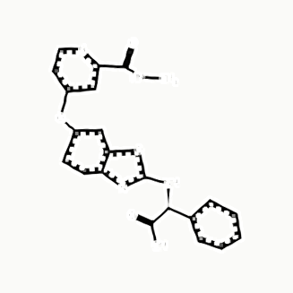 CNC(=O)c1cc(Oc2ccc3nc(N[C@H](C(=O)O)c4ccccc4)oc3c2)ccn1